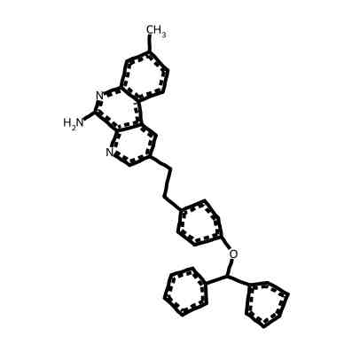 Cc1ccc2c(c1)nc(N)c1ncc(CCc3ccc(OC(c4ccccc4)c4ccccc4)cc3)cc12